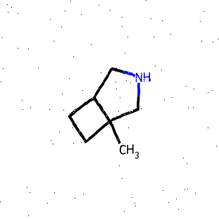 CC12CCC1CNC2